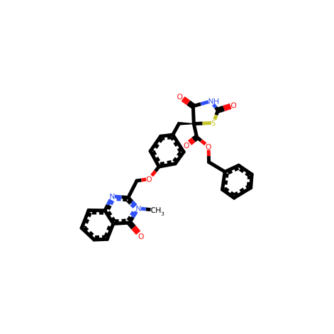 Cn1c(COc2ccc(C[C@]3(C(=O)OCc4ccccc4)SC(=O)NC3=O)cc2)nc2ccccc2c1=O